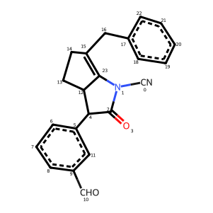 N#CN1C(=O)C(c2cccc(C=O)c2)C2CCC(Cc3ccccc3)=C21